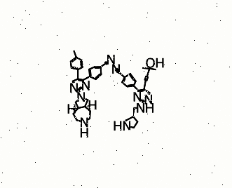 CC(C)(O)C#Cc1cnc(NC[C@H]2CCNC2)nc1-c1ccc(C#N)cc1.Cc1ccc(-c2cnc(N3C[C@H]4CCNCC[C@H]4C3)nc2-c2ccc(C#N)cc2)cc1